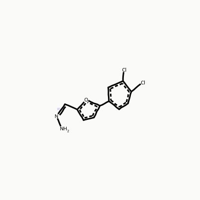 N/N=C\c1ccc(-c2ccc(Cl)c(Cl)c2)o1